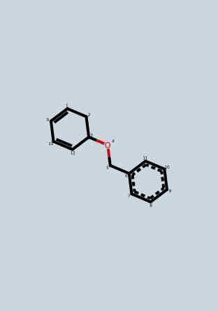 C1=CC[C](OCc2ccccc2)C=C1